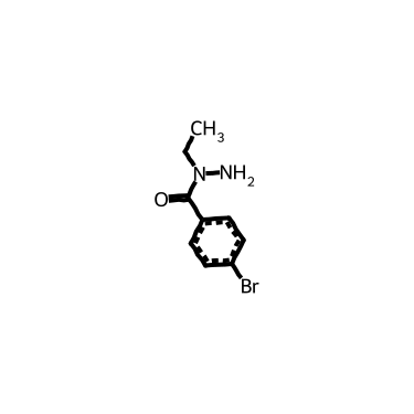 CCN(N)C(=O)c1ccc(Br)cc1